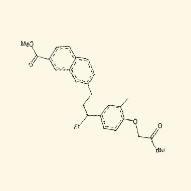 CCC(CCc1ccc2ccc(C(=O)OC)cc2c1)c1ccc(OCC(=O)C(C)(C)C)c(C)c1